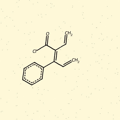 C=CC(C(=O)Cl)=C(C=C)c1ccccc1